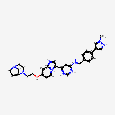 Cn1cc(-c2ccc(CNc3cc(-c4cnc5cc(OCCN6CCN7CCC6C7)ccn45)ncn3)cc2)cn1